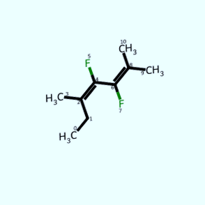 CC/C(C)=C(/F)C(F)=C(C)C